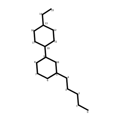 CCCCCC1CCCC(C2CCC(CC)CC2)C1